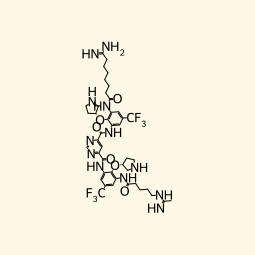 CC(=N)NCCCCC(=O)Nc1cc(C(F)(F)F)cc(NC(=O)c2cc(C(=O)Nc3cc(C(F)(F)F)cc(NC(=O)CCCCCCC(=N)N)c3O[C@@H]3CCNC3)ncn2)c1O[C@@H]1CCNC1